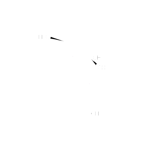 C[C@@H]1CC[C@H](C)P1c1ccccc1P1[C@H](C)CC[C@@H]1C